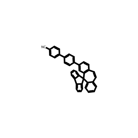 N#Cc1ccc(-c2ccc(-c3ccc4c(c3)C3(c5ccccc5C=C4)c4ccccc4-c4ccccc43)cc2)cc1